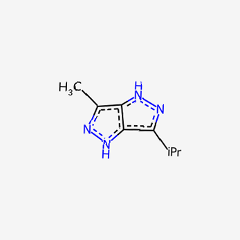 Cc1n[nH]c2c(C(C)C)n[nH]c12